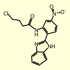 O=C(CCCCl)Nc1cc([N+](=O)[O-])ccc1-c1nc2ccccc2[nH]1